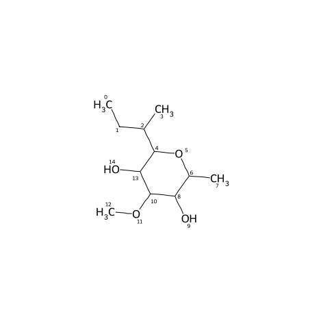 CCC(C)C1OC(C)C(O)C(OC)C1O